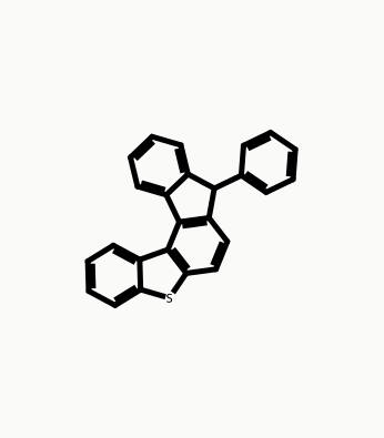 c1ccc(C2c3ccccc3-c3c2ccc2sc4ccccc4c32)cc1